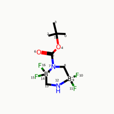 CC(C)(C)OC(=O)N1C[B-](F)(F)NC[B-]1(F)F